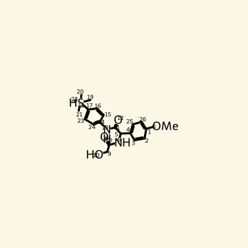 COc1ccc(C(NC(=O)CO)C(=O)Nc2ccc([SH](C)(C)(C)C)cc2)cc1